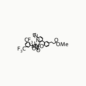 COC(=O)CCc1ccc(OC)c(-c2ccc(N3CCC3)nc2CN2C(=O)OC(c3cc(C(F)(F)F)cc(C(F)(F)F)c3)C2C)c1